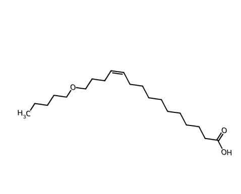 CCCCCOCCC/C=C\CCCCCCCCCC(=O)O